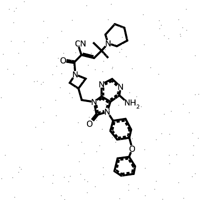 CC(C)(C=C(C#N)C(=O)N1CC(Cn2c(=O)n(-c3ccc(Oc4ccccc4)cc3)c3c(N)ncnc32)C1)N1CCCCC1